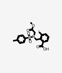 COC(=O)CN(Cc1c(I)cccc1C(=O)O)S(=O)(=O)c1ccc(C)cc1